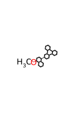 CCOc1ccc(-c2ccc3c4ccccc4c4ccccc4c3c2)c2ccccc12